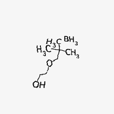 B.CC(C)(C)COCCO